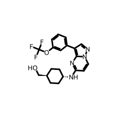 OC[C@H]1CC[C@H](Nc2ccn3ncc(-c4cccc(OC(F)(F)F)c4)c3n2)CC1